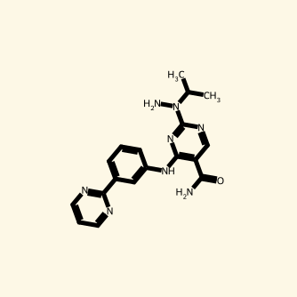 CC(C)N(N)c1ncc(C(N)=O)c(Nc2cccc(-c3ncccn3)c2)n1